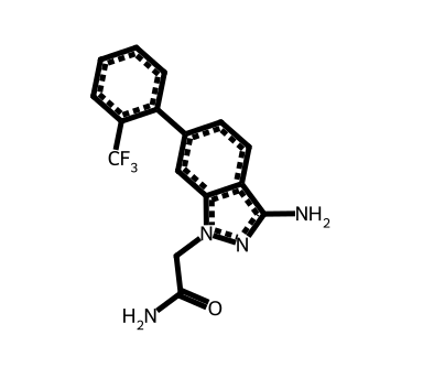 NC(=O)Cn1nc(N)c2ccc(-c3ccccc3C(F)(F)F)cc21